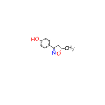 [CH2]C1CC(c2ccc(O)cc2)=NO1